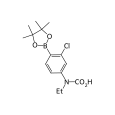 CCN(C(=O)O)c1ccc(B2OC(C)(C)C(C)(C)O2)c(Cl)c1